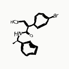 C[C@@H](NC(=O)C(=CO)c1ccc(Br)cc1)c1ccccc1